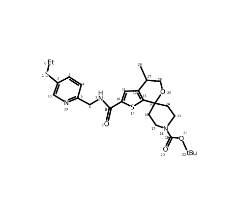 CCSc1ccc(CNC(=O)c2cc3c(s2)C2(CCN(C(=O)OC(C)(C)C)CC2)OCC3C)nc1